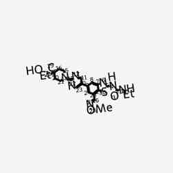 CCNC(=O)Nc1nc2cc(-c3cnc(N4CCC(CC)(C(=O)O)CC4)nc3)cc(C=NOC)c2s1